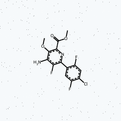 COC(=O)c1nc(-c2cc(F)c(Cl)cc2F)c(F)c(N)c1OC